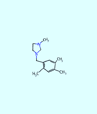 Cc1cc(C)c(CN2CCN(C)C2)cc1C